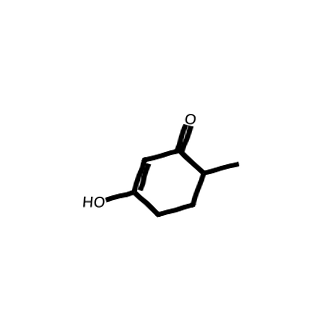 CC1CCC(O)=CC1=O